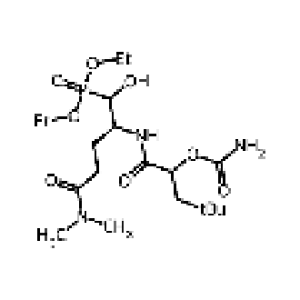 CCOP(=O)(OCC)C(O)[C@H](CCC(=O)N(C)C)NC(=O)C(CC(C)(C)C)OC(N)=O